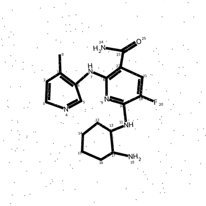 Cc1ccncc1Nc1nc(NC2CCCCC2N)c(F)cc1C(N)=O